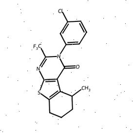 CC1CCCc2sc3nc(C(F)(F)F)n(-c4cccc(Cl)c4)c(=O)c3c21